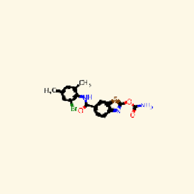 Cc1cc(C)c(NC(=O)c2ccc3nc(OC(N)=O)sc3c2)c(Br)c1